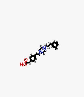 O=C(O)Cc1ccc(CCN2CCN(CCCc3ccccc3)CC2)cc1